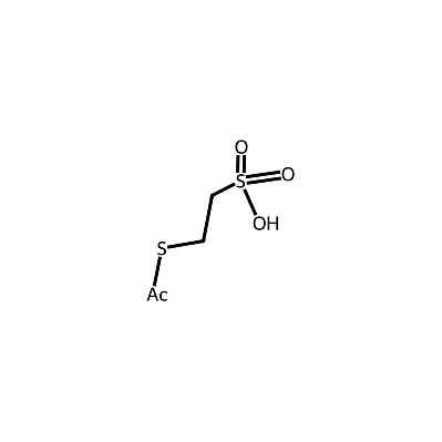 CC(=O)SCCS(=O)(=O)O